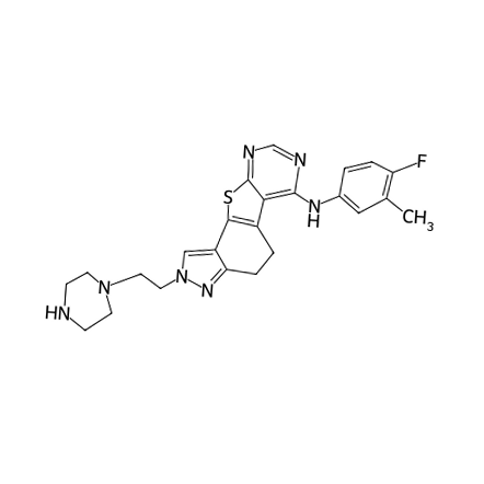 Cc1cc(Nc2ncnc3sc4c(c23)CCc2nn(CCN3CCNCC3)cc2-4)ccc1F